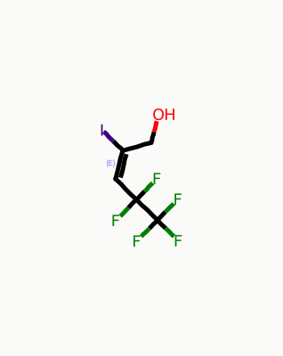 OC/C(I)=C\C(F)(F)C(F)(F)F